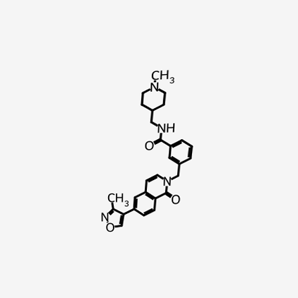 Cc1nocc1-c1ccc2c(=O)n(Cc3cccc(C(=O)NCC4CCN(C)CC4)c3)ccc2c1